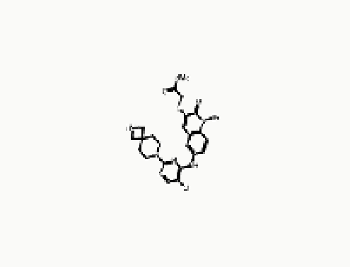 CNC(=O)COc1cc2cc(Nc3nc(N4CCC5(CC4)CNC5)ncc3Cl)ccc2n(C(C)C)c1=O